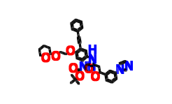 CC(C)(C)OC(=O)Nc1cc(OCCOC2CCCCO2)c(C#Cc2ccccc2)cc1NC(=O)CC(=O)c1cccc(-n2ccnc2)c1